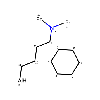 C1CCCCC1.CC(C)N(CCC[CH2][AlH])C(C)C